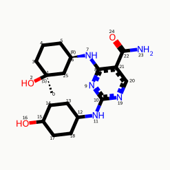 C[C@]1(O)CCC[C@@H](Nc2nc(NC3CCC(O)CC3)ncc2C(N)=O)C1